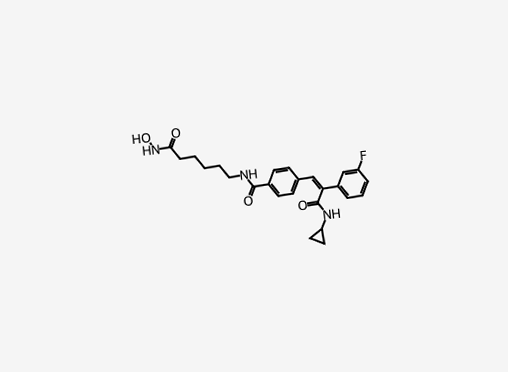 O=C(CCCCCNC(=O)c1ccc(/C=C(\C(=O)NC2CC2)c2cccc(F)c2)cc1)NO